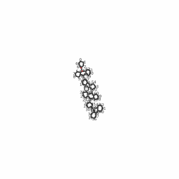 c1ccc(-c2c3ccccc3c(-c3ccc4oc5c(-c6c7ccccc7c(-c7cccc(-n8c9ccccc9c9ccccc98)c7)c7ccccc67)cccc5c4c3)c3ccccc23)cc1